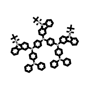 CC(C)(C)[Si](C)(C)n1c2ccccc2c2cc(N(c3ccc(N(c4ccccc4)c4ccccc4)cc3)c3ccc(N(c4ccc(N(c5ccc(N(c6ccccc6)c6ccccc6)cc5)c5ccc6c(c5)c5ccccc5n6[Si](C)(C)C(C)(C)C)cc4)c4ccc5c(c4)c4ccccc4n5[Si](C)(C)C(C)(C)C)cc3)ccc21